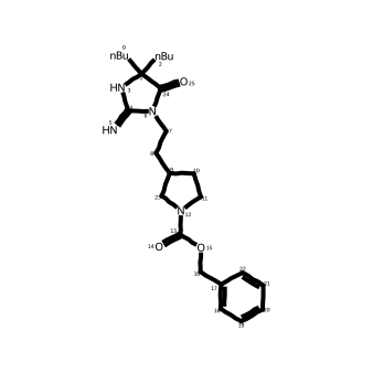 CCCCC1(CCCC)NC(=N)N(CCC2CCN(C(=O)OCc3ccccc3)C2)C1=O